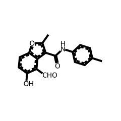 Cc1ccc(NC(=O)c2c(C)oc3ccc(O)c(C=O)c23)cc1